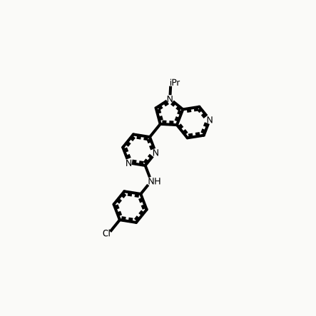 CC(C)n1cc(-c2ccnc(Nc3ccc(Cl)cc3)n2)c2ccncc21